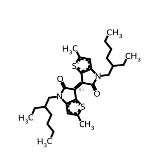 CCCCC(CC)CN1C(=O)/C(=C2/C(=O)N(CC(CC)CCCC)c3cc(C)sc32)c2sc(C)cc21